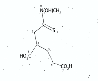 CN(O)C(=S)CC(CCC(=O)O)C(=O)O